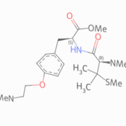 CNCCOc1ccc(C[C@H](NC(=O)[C@@H](NC)C(C)(C)SC)C(=O)OC)cc1